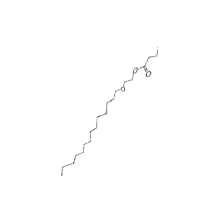 CCCCCCCCCCCCCCOCCOC(=O)CCC